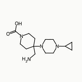 NCC1(N2CCN(C3CC3)CC2)CCN(C(=O)O)CC1